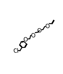 C=CCOCCOCCOCCOc1ccc(CCl)cc1